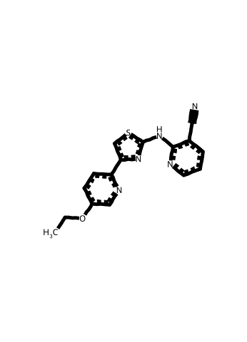 CCOc1ccc(-c2csc(Nc3ncccc3C#N)n2)nc1